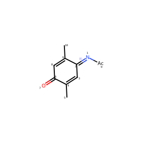 CC(=O)/N=C1\C=C(C)C(=O)C=C1C